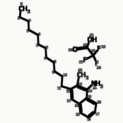 CCCCCCCCCCCCc1cc2ccccc2c(N)c1C.O=C(O)C(F)(F)F